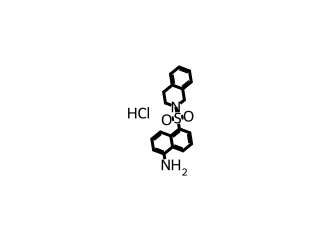 Cl.Nc1cccc2c(S(=O)(=O)N3CCc4ccccc4C3)cccc12